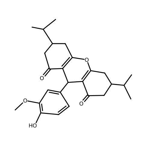 COc1cc(C2C3=C(CC(C(C)C)CC3=O)OC3=C2C(=O)CC(C(C)C)C3)ccc1O